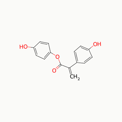 C=C(C(=O)Oc1ccc(O)cc1)c1ccc(O)cc1